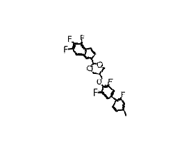 Cc1ccc(-c2cc(F)c(OCC3COC(c4ccc5c(F)c(F)c(F)cc5c4)OC3)c(F)c2)c(F)c1